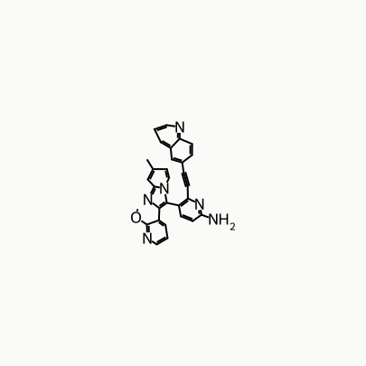 COc1ncccc1-c1nc2cc(C)ccn2c1-c1ccc(N)nc1C#Cc1ccc2ncccc2c1